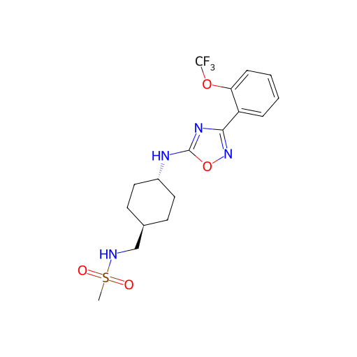 CS(=O)(=O)NC[C@H]1CC[C@H](Nc2nc(-c3ccccc3OC(F)(F)F)no2)CC1